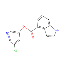 O=C(Oc1cncc(Cl)c1)c1cccc2[nH]ccc12